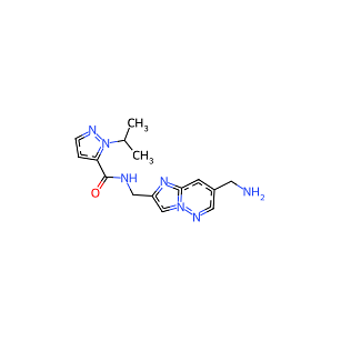 CC(C)n1nccc1C(=O)NCc1cn2ncc(CN)cc2n1